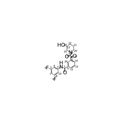 O=C(Nc1cc(F)cc(F)c1)c1cccc(S(=O)(=O)N2CCCC(O)C2)c1